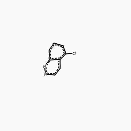 Clc1c[c]cc2nn[c]cc12